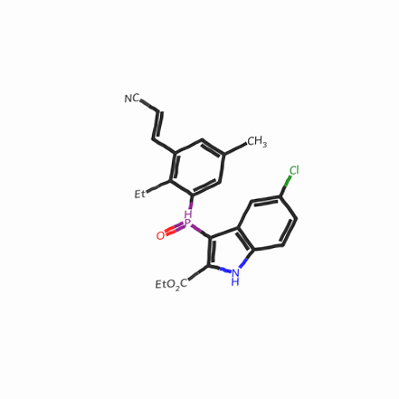 CCOC(=O)c1[nH]c2ccc(Cl)cc2c1[PH](=O)c1cc(C)cc(C=CC#N)c1CC